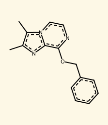 Cc1nc2c(OCc3ccccc3)nccn2c1C